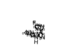 COC[C@@H]1C[C@@H](Nc2cncc(-c3cnc4cc(F)ccn34)n2)CN1